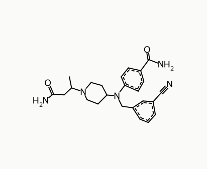 CC(CC(N)=O)N1CCC(N(Cc2cccc(C#N)c2)c2ccc(C(N)=O)cc2)CC1